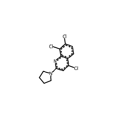 Clc1ccc2c(Cl)cc(N3CCCC3)nc2c1Cl